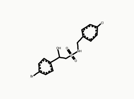 O=S(=O)(CC(O)c1ccc(Br)cc1)NCc1ccc(Cl)cc1